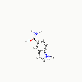 CN(C)C(=O)c1ccc2c(ccn2C)c1